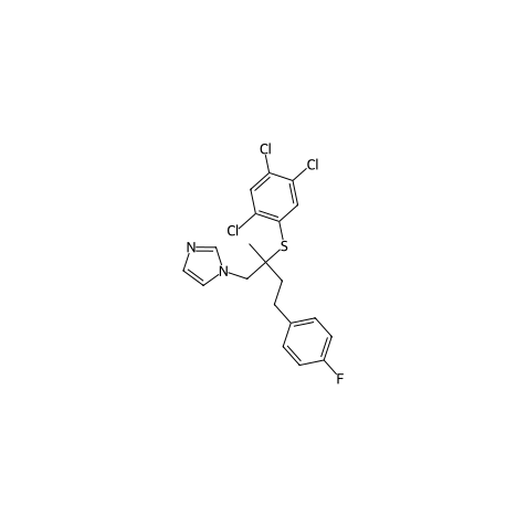 CC(CCc1ccc(F)cc1)(Cn1ccnc1)Sc1cc(Cl)c(Cl)cc1Cl